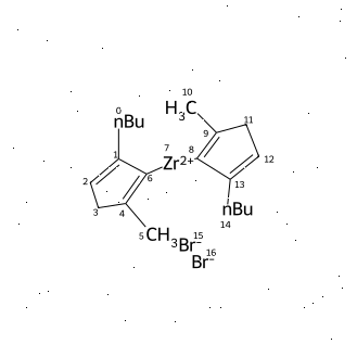 CCCCC1=CCC(C)=[C]1[Zr+2][C]1=C(C)CC=C1CCCC.[Br-].[Br-]